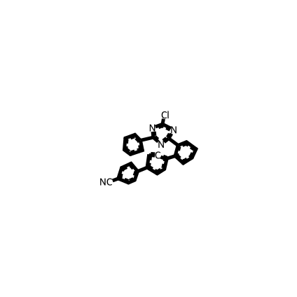 N#Cc1ccc(-c2ccc(-c3ccccc3-c3nc(Cl)nc(-c4ccccc4)n3)cc2)cc1